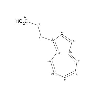 O=C(O)CCc1ccc2cccccc1-2